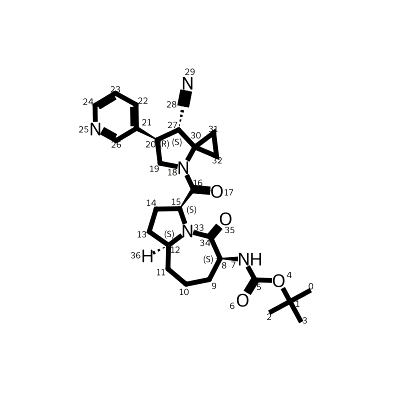 CC(C)(C)OC(=O)N[C@H]1CCC[C@H]2CC[C@@H](C(=O)N3C[C@@H](c4cccnc4)[C@H](C#N)C34CC4)N2C1=O